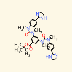 CN(C(=O)N(C)c1cc(C(=O)OC(C)(C)C)cc(N(C)C(=O)N(C)c2ccc(C3=NCCN3)cc2)c1)c1ccc(C2=NCCN2)cc1